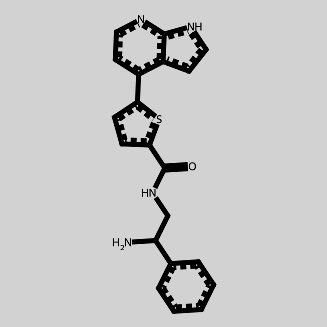 NC(CNC(=O)c1ccc(-c2ccnc3[nH]ccc23)s1)c1ccccc1